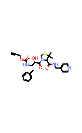 C#CCOC(=O)N[C@@H](Cc1ccccc1)[C@H](O)C(=O)N1CSC(C)(C)C1C(=O)NCc1ccncc1